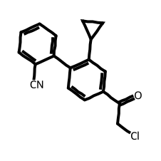 N#Cc1ccccc1-c1ccc(C(=O)CCl)cc1C1CC1